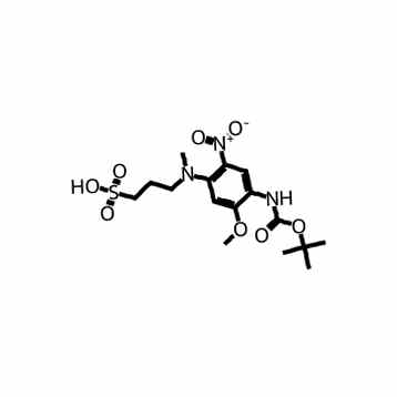 COc1cc(N(C)CCCS(=O)(=O)O)c([N+](=O)[O-])cc1NC(=O)OC(C)(C)C